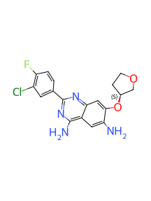 Nc1cc2c(N)nc(-c3ccc(F)c(Cl)c3)nc2cc1O[C@H]1CCOC1